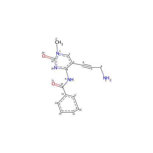 Cn1cc(C#CCN)c(NC(=O)c2ccccc2)nc1=O